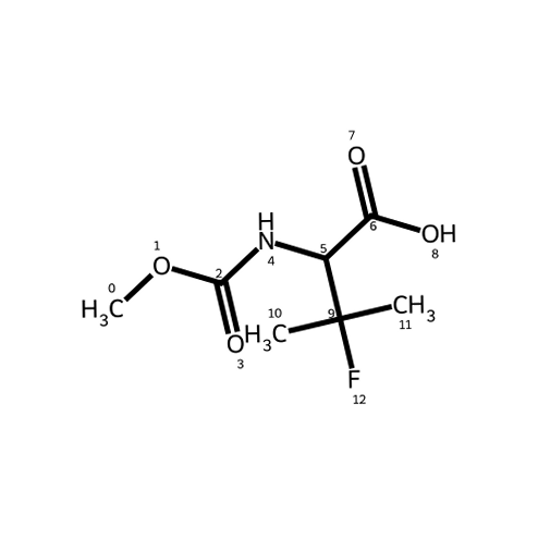 COC(=O)NC(C(=O)O)C(C)(C)F